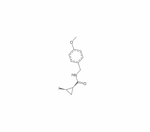 COc1ccc(CNC(=O)[C@H]2C[C@H]2I)cc1